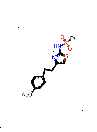 CCS(=O)(=O)Nc1nc(CCc2ccc(OC(C)=O)cc2)cs1